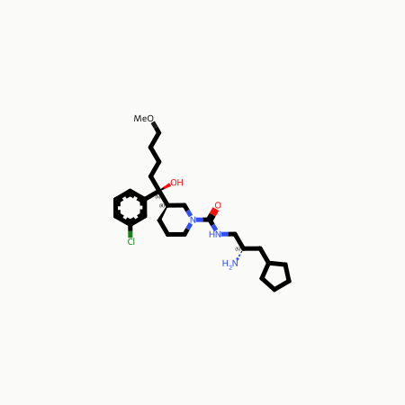 COCCCC[C@@](O)(c1cccc(Cl)c1)[C@@H]1CCCN(C(=O)NC[C@@H](N)CC2CCCC2)C1